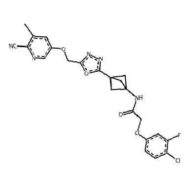 Cc1cc(OCc2nnc(C34CC(NC(=O)COc5ccc(Cl)c(F)c5)(C3)C4)o2)cnc1C#N